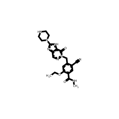 CCOc1cc(Cn2ncc3nc(N4CCNCC4)[nH]c3c2=O)c(C#N)cc1C(=O)NC